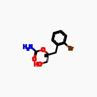 NC(=O)O[C@@H](CO)Cc1ccccc1Br